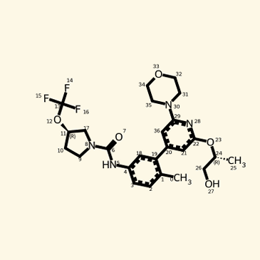 Cc1ccc(NC(=O)N2CC[C@@H](OC(F)(F)F)C2)cc1-c1cc(O[C@H](C)CO)nc(N2CCOCC2)c1